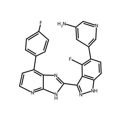 Nc1cncc(-c2ccc3[nH]nc(-c4nc5c(-c6ccc(F)cc6)ccnc5[nH]4)c3c2F)c1